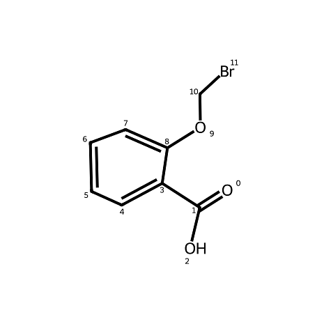 O=C(O)c1ccccc1OCBr